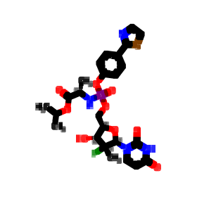 CC(C)OC(=O)[C@H](C)NP(=O)(OC[C@H]1O[C@@H](n2ccc(=O)[nH]c2=O)[C@](C)(F)[C@@H]1O)Oc1ccc(-c2nccs2)cc1